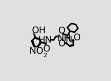 O=C(NCCNC(=O)C(C1CCCCC1)N1C(=O)C=CC1=O)c1cc(CO)ccc1[N+](=O)[O-]